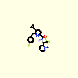 CN1C=CC=CC1[C@H](NC(=O)c1ccc(C2CC2)c(Cc2ccc(F)cc2)n1)C(F)(F)F